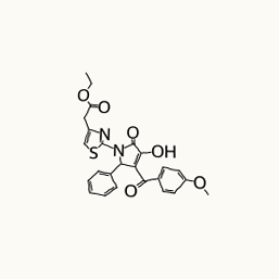 CCOC(=O)Cc1csc(N2C(=O)C(O)=C(C(=O)c3ccc(OC)cc3)C2c2ccccc2)n1